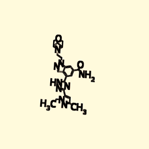 CCn1nc(C)cc1-c1n[nH]c(-c2cc(C(N)=O)cc3c2cnn3CCN2C3COCC2C3)n1